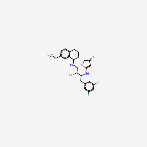 CCc1ccc2c(c1)C(NCC(O)C(Cc1cc(F)cc(F)c1)NC1=CC(=O)CO1)CCC2